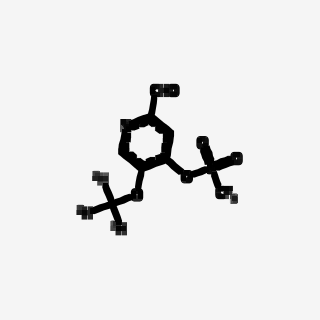 [2H]C([2H])([2H])Oc1cnc(C=O)cc1OS(=O)(=O)C(F)(F)F